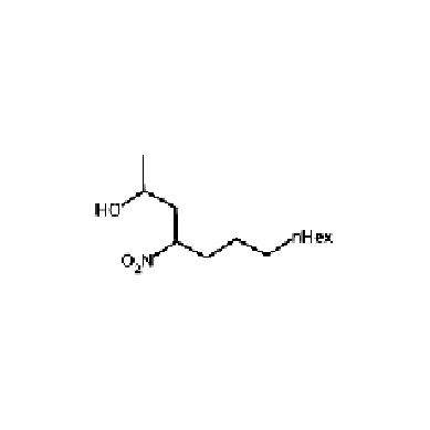 CCCCCCCCCC(CC(C)O)[N+](=O)[O-]